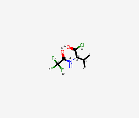 CC(C)[C@H](NC(=O)C(F)(F)F)C(=O)Cl